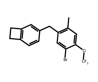 Cc1cc(OC(F)(F)F)c(Br)cc1Cc1ccc2c(c1)CC2